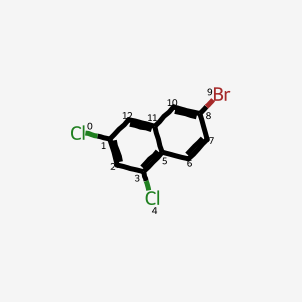 Clc1cc(Cl)c2ccc(Br)cc2c1